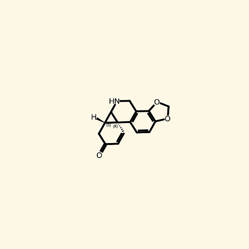 O=C1C=C[C@@]23c4ccc5c(c4CNC2[C@H]3C1)OCO5